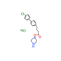 Cl.O=C(CCCc1ccc(-c2ccc(Cl)cc2)cc1)ON1CCNCC1